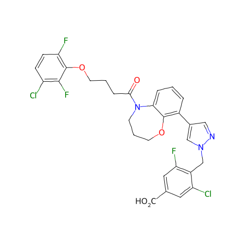 O=C(O)c1cc(F)c(Cn2cc(-c3cccc4c3OCCCN4C(=O)CCCOc3c(F)ccc(Cl)c3F)cn2)c(Cl)c1